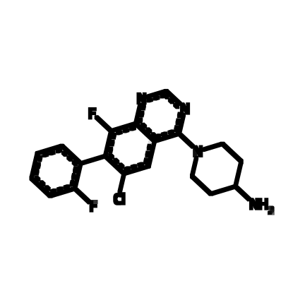 NC1CCN(c2ncnc3c(F)c(-c4ccccc4F)c(Cl)cc23)CC1